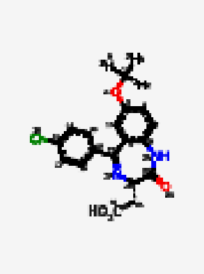 [2H]C([2H])([2H])Oc1ccc2c(c1)C(c1ccc(Cl)cc1)=N[C@@H](CC(=O)O)C(=O)N2